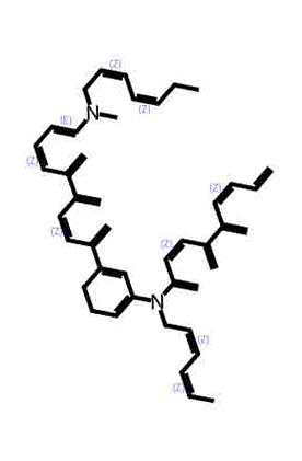 C=C/C=C\C(=C)C(=C)/C=C\C(=C)N(C/C=C\C=C/C)C1=CCCC(C(=C)/C=C\C(=C)C(=C)/C=C\C=C\N(C)C/C=C\C=C/CC)=C1